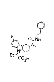 CCC(C(=O)O)n1c2c(c3cc(F)ccc31)CC(N(C)C(=O)NCCc1ccccc1)CC2